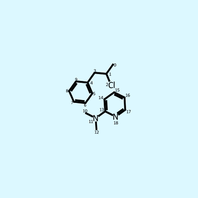 CC(Cl)Cc1ccccc1.CN(C)c1ccccn1